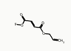 C=CCOC(=O)C=CC(=O)OF